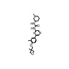 Cc1cc(-c2cncc(NC(=O)N[C@H]3CCCN(C)C3)n2)ccc1OCC1(C)COC1